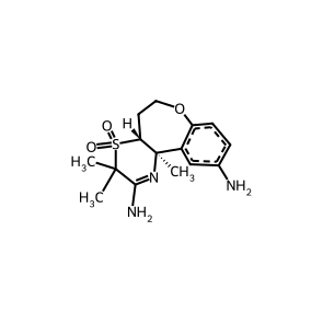 CC1(C)C(N)=N[C@]2(C)c3cc(N)ccc3OCC[C@H]2S1(=O)=O